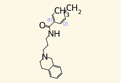 C=C/C=C\C(=C/C)C(=O)NCCCN1CCc2ccccc2C1